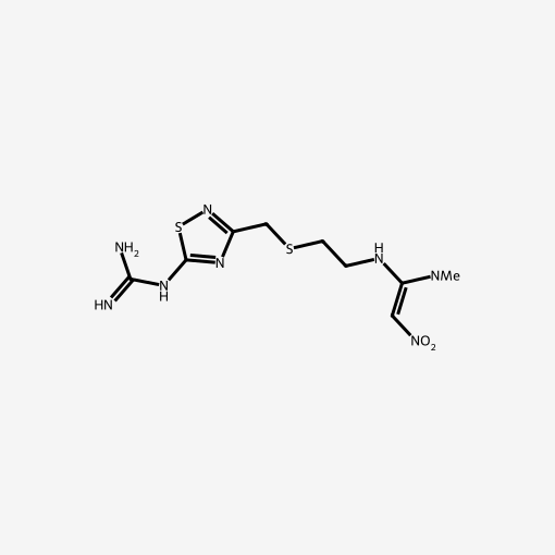 CNC(=C[N+](=O)[O-])NCCSCc1nsc(NC(=N)N)n1